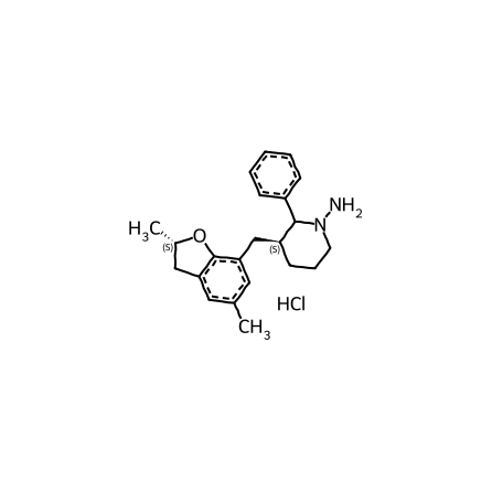 Cc1cc(C[C@@H]2CCCN(N)C2c2ccccc2)c2c(c1)C[C@H](C)O2.Cl